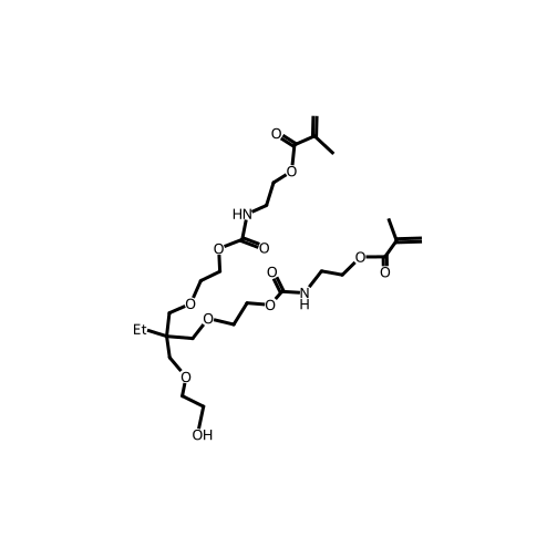 C=C(C)C(=O)OCCNC(=O)OCCOCC(CC)(COCCO)COCCOC(=O)NCCOC(=O)C(=C)C